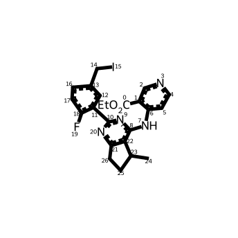 CCOC(=O)c1cnccc1Nc1nc(-c2cc(CI)ccc2F)nc2c1C(C)CC2